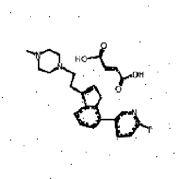 CN1CCN(CCC2=CCc3c2cccc3-c2ccc(F)nc2)CC1.O=C(O)C=CC(=O)O